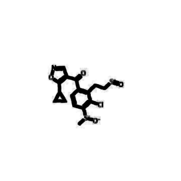 C[S+]([O-])c1ccc(C(=O)c2cnoc2C2CC2)c(CC[S+]=O)c1Cl